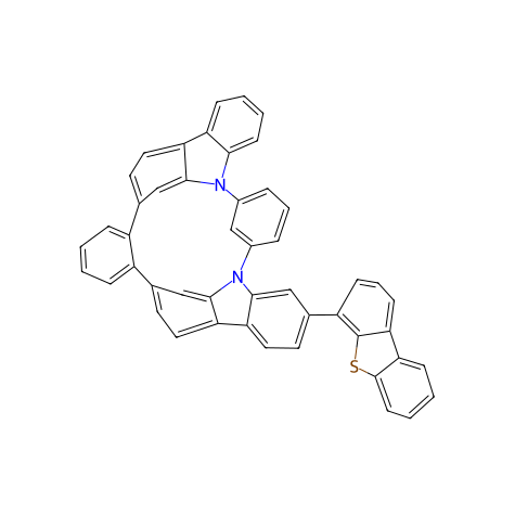 c1ccc2c(c1)sc1c(-c3ccc4c5ccc6cc5n(c5cccc(c5)n5c7ccccc7c7ccc(cc75)c5ccccc65)c4c3)cccc12